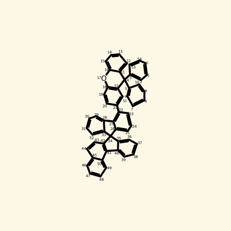 c1ccc(C2(c3ccccc3)c3ccccc3Oc3ccc(-c4cccc5c4-c4ccccc4C54c5ccccc5-c5c4ccc4ccccc54)cc32)cc1